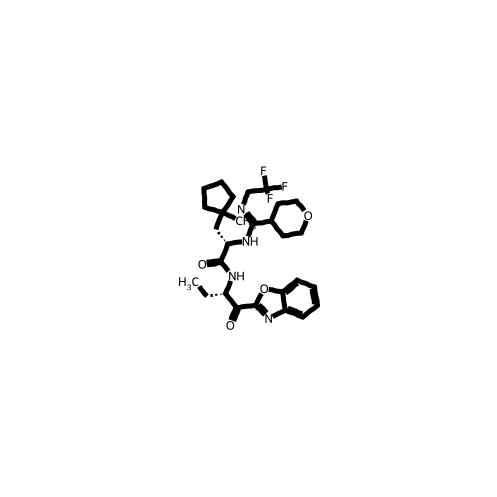 CC[C@H](NC(=O)[C@H](CC1(C)CCCC1)N/C(=N/CC(F)(F)F)C1CCOCC1)C(=O)c1nc2ccccc2o1